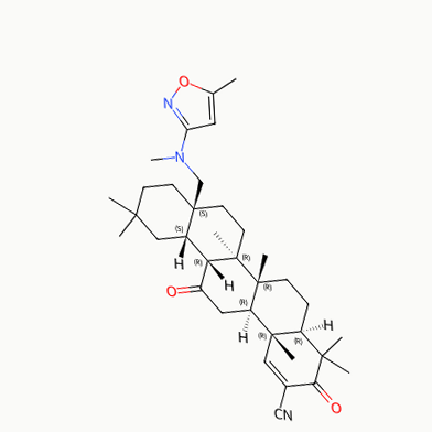 Cc1cc(N(C)C[C@]23CCC(C)(C)C[C@H]2[C@H]2C(=O)C[C@@H]4[C@@]5(C)C=C(C#N)C(=O)C(C)(C)[C@@H]5CC[C@@]4(C)[C@]2(C)CC3)no1